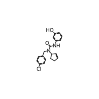 O=C(Nc1cccc(O)c1)N(Cc1ccc(Cl)cc1)C1C=CCC1